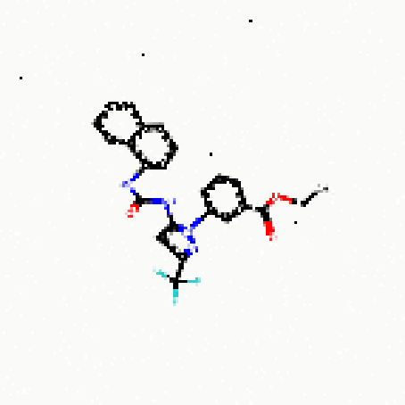 CCOC(=O)c1cccc(-n2nc(C(F)(F)F)cc2NC(=O)Nc2cccc3ccccc23)c1